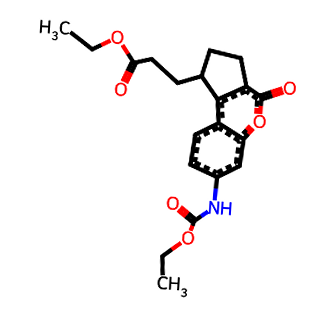 CCOC(=O)CCC1CCc2c1c1ccc(NC(=O)OCC)cc1oc2=O